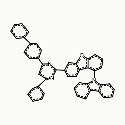 c1ccc(-c2ccc(-c3cc(-c4ccccc4)nc(-c4ccc5c(c4)oc4cccc(-n6c7ccccc7c7ccccc76)c45)n3)cc2)cc1